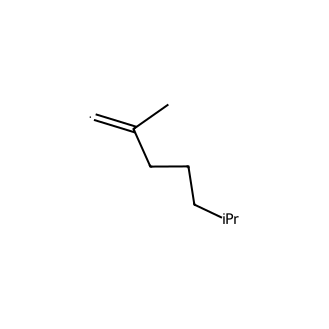 [CH]=C(C)CCCC(C)C